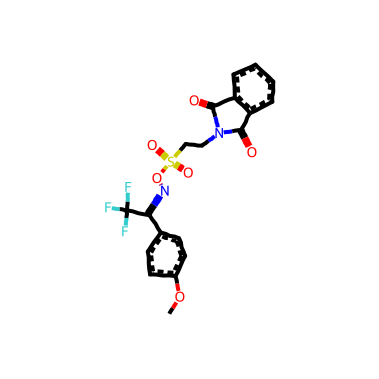 COc1ccc(C(=NOS(=O)(=O)CCN2C(=O)c3ccccc3C2=O)C(F)(F)F)cc1